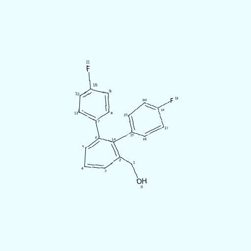 OCc1cccc(-c2ccc(F)cc2)c1-c1ccc(F)cc1